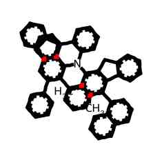 Cc1c(C)c(N(c2ccccc2-c2ccccc2)c2c3c(cc(-c4ccccc4)c2-c2ccccc2)-c2ccccc2C3)c2c(c1-c1cccc3ccccc13)-c1ccccc1C2